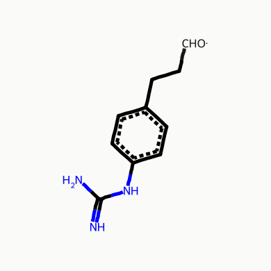 N=C(N)Nc1ccc(CC[C]=O)cc1